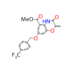 C=C1Oc2cc(OCc3ccc(C(F)(F)F)cc3)cc(C(=O)OC)c2NC1=O